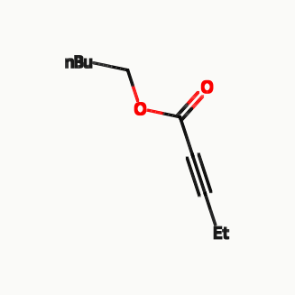 CCC#CC(=O)OCCCCC